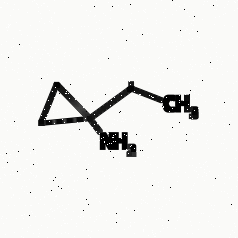 C[CH]C1(N)CC1